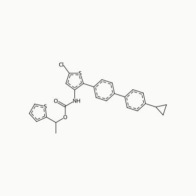 CC(OC(=O)Nc1cc(Cl)sc1-c1ccc(-c2ccc(C3CC3)cc2)cc1)c1cccs1